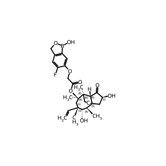 C=C[C@]1(C)C[C@@H](OC(=O)COc2cc3c(cc2F)COB3O)[C@]2(C)[C@H](C)CC[C@]3(C[C@H](O)C(=O)[C@H]32)[C@@H](C)[C@@H]1O